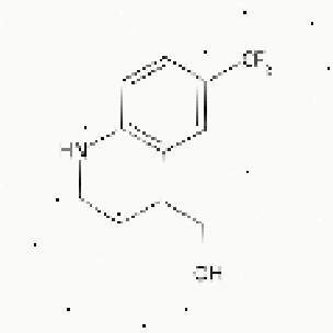 OCC1CCNc2ccc(C(F)(F)F)cc21